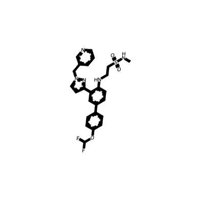 CNS(=O)(=O)CCNc1ccc(-c2ccc(OC(F)F)cc2)cc1-c1ccn(Cc2cccnc2)n1